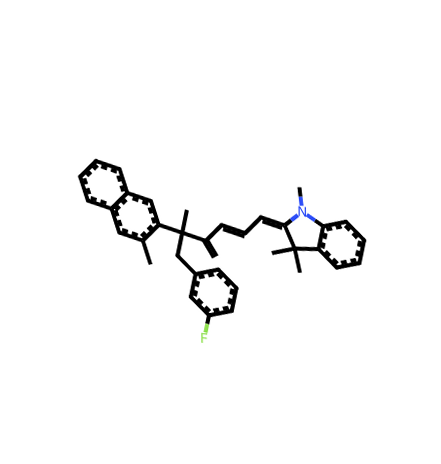 C=C(/C=C/C=C1/N(C)c2ccccc2C1(C)C)C(C)(Cc1cccc(F)c1)c1cc2ccccc2cc1C